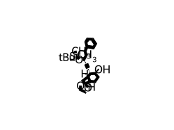 CC(C)(C)[Si](C)(C)O[C@@H](C#C[C@H]1[C@@H]2CC3(OCCO3)[C@@H]2CC[C@@H]1O)CCc1ccccc1